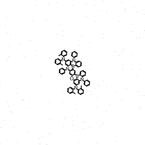 Cc1ccccc1N(c1cc2c3c(c1)N(c1ccccc1)c1ccccc1B3c1cc3c(cc1O2)N(c1ccccc1)c1cc(N(c2ccccc2C)c2ccccc2C)cc2c1B3c1ccccc1N2c1ccccc1)c1ccccc1C